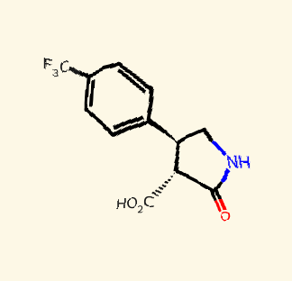 O=C(O)[C@H]1C(=O)NC[C@@H]1c1ccc(C(F)(F)F)cc1